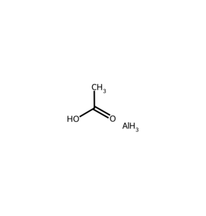 CC(=O)O.[AlH3]